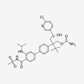 CC(C)Nc1cc(-c2ccc(C(COC(N)=O)(C[C@@H](O)c3ccc(Cl)nc3)C(C)(C)C)cc2)ccc1C(=O)NS(C)(=O)=O